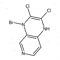 ClC1=C(Cl)N(Br)c2cnccc2N1